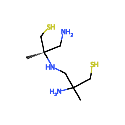 CC(N)(CS)CN[C@](C)(CN)CS